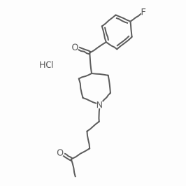 CC(=O)CCCN1CCC(C(=O)c2ccc(F)cc2)CC1.Cl